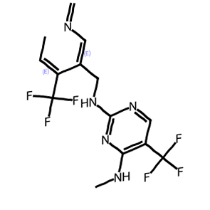 C=N/C=C(CNc1ncc(C(F)(F)F)c(NC)n1)\C(=C/C)C(F)(F)F